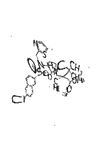 CC(C)(C)[C@@](C)(C(=O)O)N1CC[C@H](N(Cc2nccs2)S(=O)(=O)c2ccc3cc(Cl)ccc3c2)C1=O